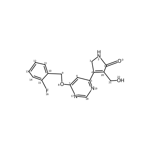 O=C1NCC(c2cc(OCc3ccccc3F)ncn2)=C1CO